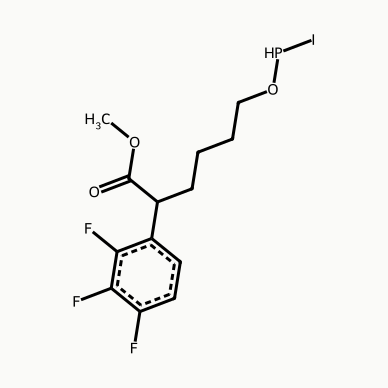 COC(=O)C(CCCCOPI)c1ccc(F)c(F)c1F